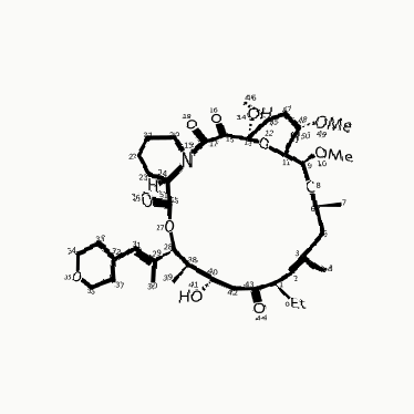 CC[C@@H]1/C=C(\C)C[C@H](C)C[C@H](OC)[C@H]2O[C@@](O)(C(=O)C(=O)N3CCCC[C@H]3C(=O)O[C@H](/C(C)=C/C3CCOCC3)[C@H](C)[C@@H](O)CC1=O)[C@H](C)C[C@@H]2OC